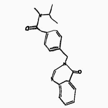 CC(C)N(C)C(=O)c1ccc(Cn2cnc3ccccc3c2=O)cc1